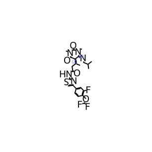 C/C(CC(=O)Nc1nc(-c2ccc(OC(F)F)c(F)c2)cs1)=C1/C(=O)N(C)C(=O)N(C)/C1=N/CC(C)C